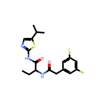 CCC(NC(=O)Cc1cc(F)cc(F)c1)C(=O)Nc1ncc(C(C)C)s1